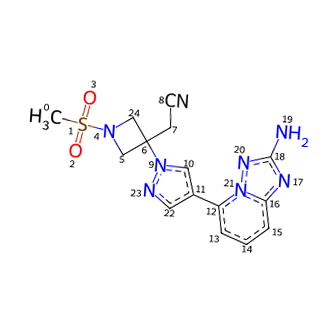 CS(=O)(=O)N1CC(CC#N)(n2cc(-c3cccc4nc(N)nn34)cn2)C1